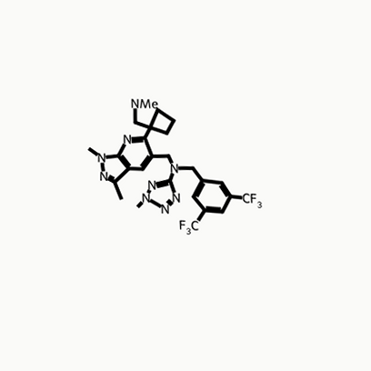 CNCC1(c2nc3c(cc2CN(Cc2cc(C(F)(F)F)cc(C(F)(F)F)c2)c2nnn(C)n2)c(C)nn3C)CCC1